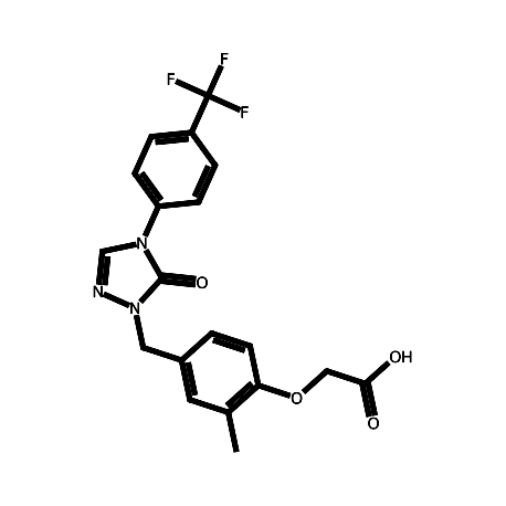 Cc1cc(Cn2ncn(-c3ccc(C(F)(F)F)cc3)c2=O)ccc1OCC(=O)O